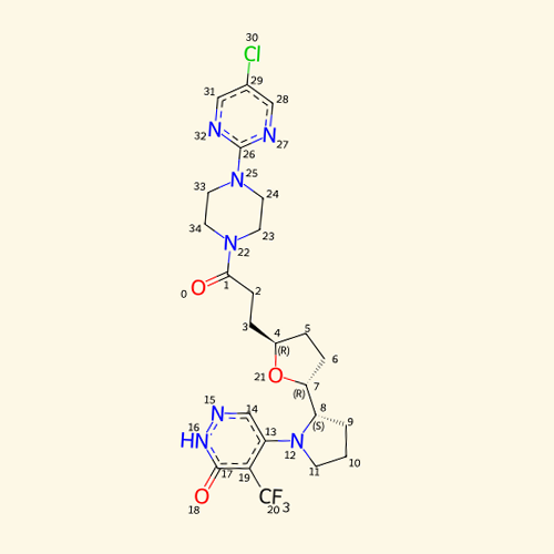 O=C(CC[C@H]1CC[C@H]([C@@H]2CCCN2c2cn[nH]c(=O)c2C(F)(F)F)O1)N1CCN(c2ncc(Cl)cn2)CC1